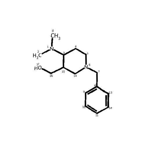 CN(C)C1CCN(Cc2ccccc2)CC1CO